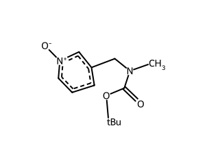 CN(Cc1ccc[n+]([O-])c1)C(=O)OC(C)(C)C